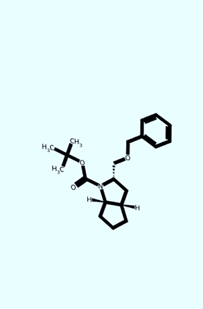 CC(C)(C)OC(=O)N1[C@H](COCc2ccccc2)C[C@@H]2CCC[C@@H]21